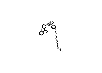 CCCCCCCCCCCCc1ccc(S(=O)(=O)O[I+]c2ccc3oc4ccccc4c(=O)c3c2)cc1